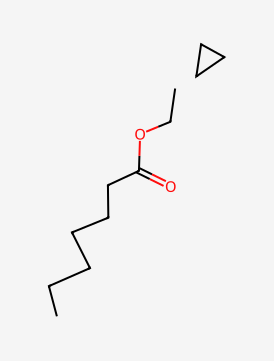 C1CC1.CCCCCCC(=O)OCC